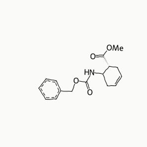 COC(=O)[C@@H]1CC=CCC1NC(=O)OCc1ccccc1